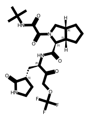 CC(C)(C)NC(=O)C(=O)N1C[C@@H]2CCC[C@@H]2[C@H]1C(=O)N[C@H](C[C@@H]1CCNC1=O)C(=O)COC(F)(F)F